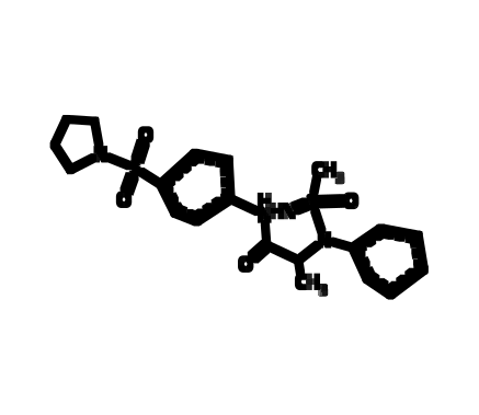 CC(C(=O)Nc1ccc(S(=O)(=O)N2CCCC2)cc1)N(c1ccccc1)S(C)(=N)=O